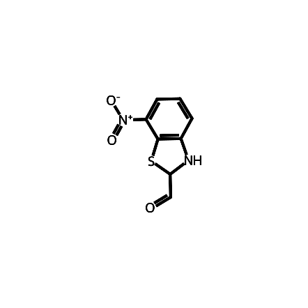 O=CC1Nc2cccc([N+](=O)[O-])c2S1